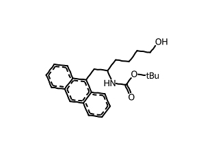 CC(C)(C)OC(=O)NC(CCCCO)Cc1c2ccccc2cc2ccccc12